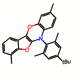 Cc1ccc2c(c1)Oc1c(oc3c(C)cccc13)N2c1c(C)cc(C(C)(C)C)cc1C